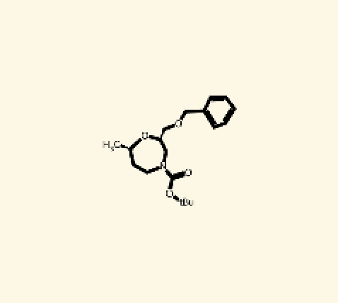 C[C@@H]1CCN(C(=O)OC(C)(C)C)C[C@H](COCc2ccccc2)O1